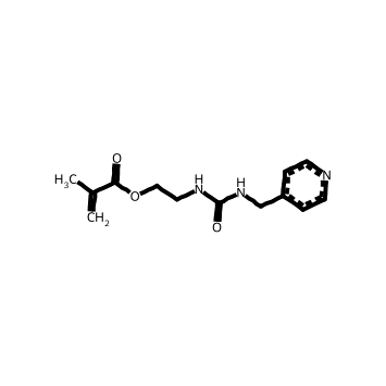 C=C(C)C(=O)OCCNC(=O)NCc1ccncc1